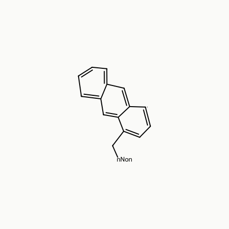 CCCCCCCCCCc1cc[c]c2cc3ccccc3cc12